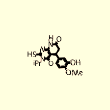 COc1ccc(C2CC(=O)Nc3nc(S)n(C(C)C)c(=O)c32)cc1O